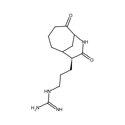 N=C(N)NCCC[C@@H]1C(=O)NC2CC1CCCC2=O